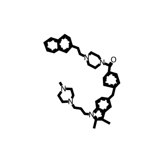 Cc1c(C)n(CCCN2CCN(C)CC2)c2ccc(Cc3ccc(C(=O)N4CCN(CCc5ccc6ccccc6c5)CC4)cc3)cc12